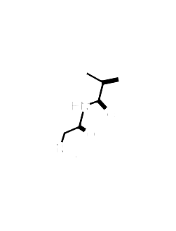 C=C(C)C(=O)NC(=O)CN